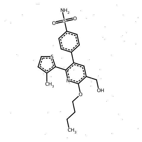 CCCCOc1nc(-c2sccc2C)c(-c2ccc(S(N)(=O)=O)cc2)cc1CO